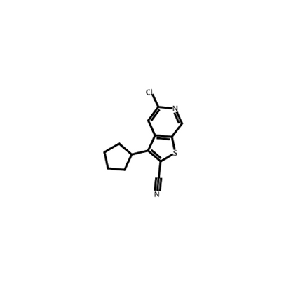 N#Cc1sc2cnc(Cl)cc2c1C1CCCC1